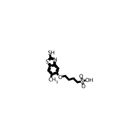 Cc1cc2sc(S)nc2cc1OCCCCS(=O)(=O)O